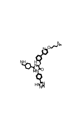 CN(C)CCCOc1ccc(-c2cccc(C[C@H](NC(=O)C3CCC(CN)CC3)C(=O)Nc3ccc(-c4nnn[nH]4)cc3)c2)cn1